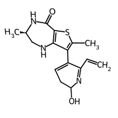 C=CC1=NC(O)CC=C1c1c(C)sc2c1NC[C@@H](C)NC2=O